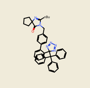 CCCCC1=NC2(CCCC2)C(=O)N1Cc1ccc(-c2ccccc2C2(C(c3ccccc3)(c3ccccc3)c3ccccc3)N=NN=N2)cc1